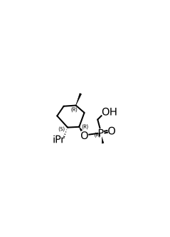 CC(C)[C@@H]1CC[C@@H](C)C[C@H]1O[P@@](C)(=O)CO